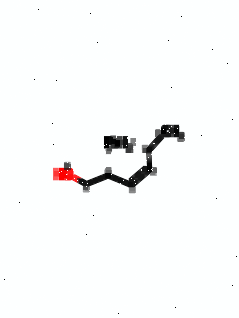 CC/C=C\CCO.[PbH2]